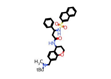 CN(Cc1ccc2c(c1)OCCC2NC(=O)CC(NS(=O)(=O)c1ccc2ccccc2c1)c1ccccc1)C(C)(C)C